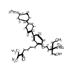 C=C(C)C(=O)CCCCc1cc(C2CCC(C3CCC(CCCCC)CC3)CC2)ccc1OCCC(CO)(CO)CCCC